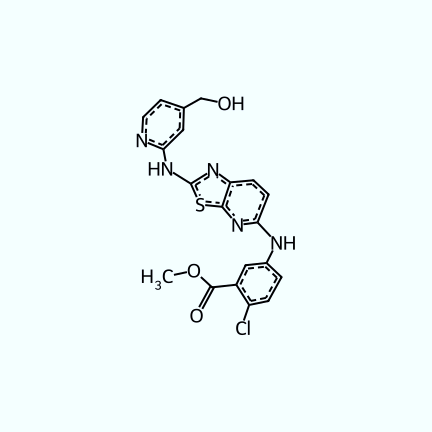 COC(=O)c1cc(Nc2ccc3nc(Nc4cc(CO)ccn4)sc3n2)ccc1Cl